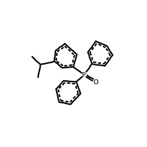 CC(C)c1cccc(P(=O)(c2ccccc2)c2ccccc2)c1